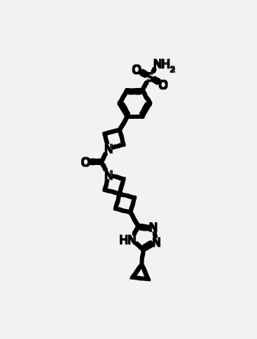 NS(=O)(=O)c1ccc(C2CN(C(=O)N3CC4(CC(c5nnc(C6CC6)[nH]5)C4)C3)C2)cc1